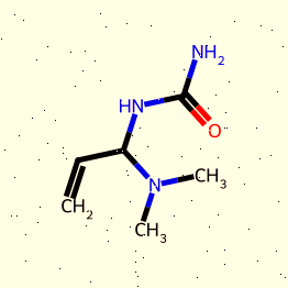 C=CC(NC(N)=O)N(C)C